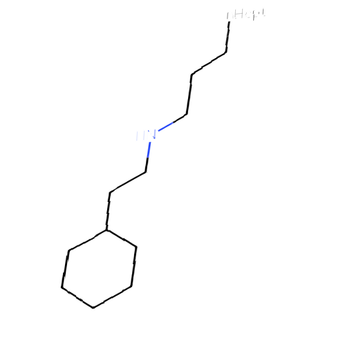 CCCCCCCCCCNCCC1CCCCC1